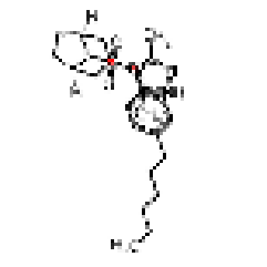 CCCCCCc1ccc(OC2C[C@H]3CC[C@@H](C2)N3S(=O)(=O)c2c(C)n[nH]c2C)cc1